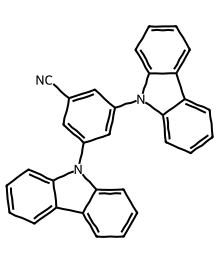 N#Cc1cc(-n2c3ccccc3c3ccccc32)cc(-n2c3ccccc3c3ccccc32)c1